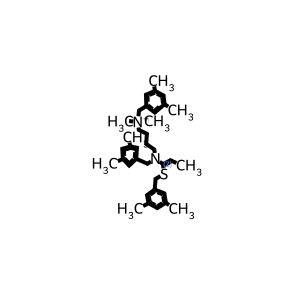 C/C=C(\SCc1cc(C)cc(C)c1)N(CCCC[N+](C)(C)Cc1cc(C)cc(C)c1)Cc1cc(C)cc(C)c1